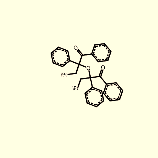 CC(C)CC(OC(CC(C)C)(C(=O)c1ccccc1)c1ccccc1)(C(=O)c1ccccc1)c1ccccc1